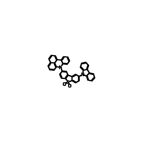 O=S1(=O)c2ccc(N3c4ccccc4-c4cccc5cccc3c45)cc2-c2cc(-n3c4ccccc4c4ccccc43)ccc21